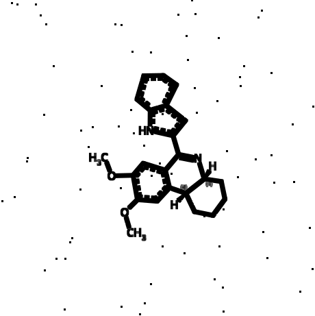 COc1cc2c(cc1OC)[C@H]1CCCC[C@H]1N=C2c1cc2ccccc2[nH]1